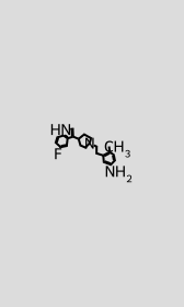 Cc1ccc(N)cc1CCN1CCC(c2c[nH]c3ccc(F)cc23)CC1